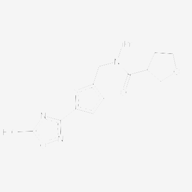 CC(C)N(Cc1ccc(-c2noc(C(F)(F)F)n2)s1)C(=O)C1CCOC1